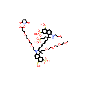 COCCNc1ccc2c(SO)cc(S(=O)(=O)O)cc2c1C(C)(C/C=C/C=C/C=C1/N(CCOCCOCCOCCC(=O)ON2C(=O)CCC2=O)c2ccc3c(SO)cc(S(=O)(=O)O)cc3c2C1(C)CCOCCOCCOCCOC)CCCS(=O)(=O)O